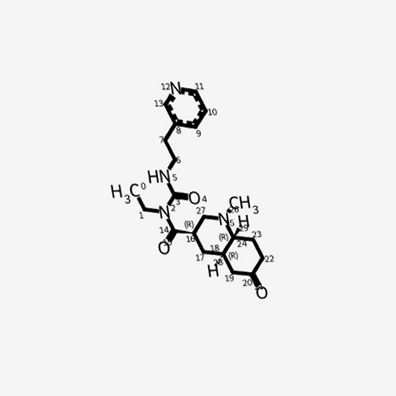 CCN(C(=O)NCCc1cccnc1)C(=O)[C@@H]1C[C@@H]2CC(=O)CC[C@H]2N(C)C1